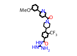 COc1cccc(-c2ccc(C(=O)N3CCC(c4ccc(C(=O)NC(=N)N)cc4C(F)(F)F)CC3)cn2)c1